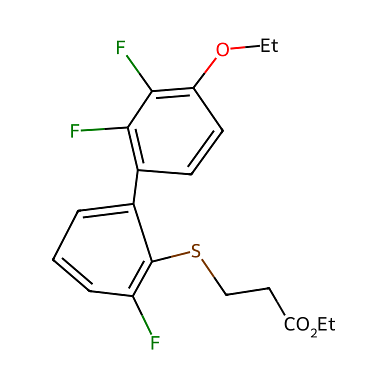 CCOC(=O)CCSc1c(F)cccc1-c1ccc(OCC)c(F)c1F